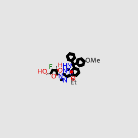 CCOc1nc(NC(c2ccccc2)(c2ccccc2)c2ccc(OC)cc2)nc2c1ncn2[C@@H]1O[C@H](CO)[C@@H](F)[C@@]1(C)O